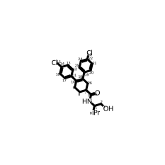 CC(C)C(CO)NC(=O)C1CCC(c2ccc(Cl)cc2)=C(c2ccc(Cl)cc2)C1